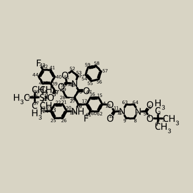 CC(C)(C)OC(=O)N1CCN(C(=O)Oc2ccc([C@@H](Nc3ccc(F)cc3)[C@@H](CC[C@H](O[Si](C)(C)C(C)(C)C)c3ccc(F)cc3)C(=O)N3C(=O)OC[C@@H]3c3ccccc3)c(F)c2)CC1